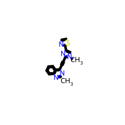 Cc1nc(C#Cc2nc(-c3nccs3)cn2C)c2ccccc2n1